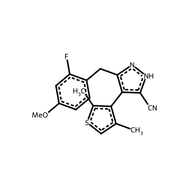 COc1ccc(Cc2n[nH]c(C#N)c2-c2c(C)csc2C)c(F)c1